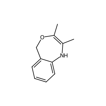 CC1=C(C)OCc2ccccc2N1